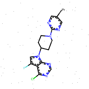 CC(C)c1cnc(N2CCC(n3cc(F)c4c(Cl)ncnc43)CC2)nc1